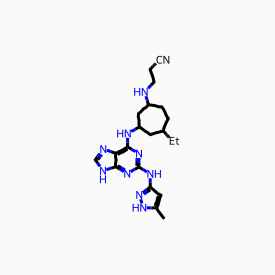 CCC1CCC(NCCC#N)CC(Nc2nc(Nc3cc(C)[nH]n3)nc3[nH]cnc23)C1